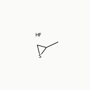 CC1CS1.F